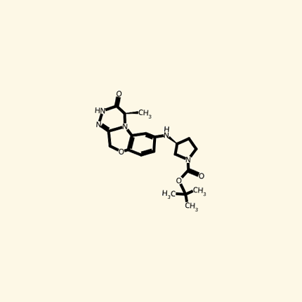 C[C@@H]1C(=O)NN=C2COc3ccc(N[C@H]4CCN(C(=O)OC(C)(C)C)C4)cc3N21